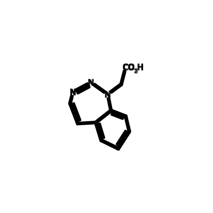 O=C(O)CN1N=NC=Cc2ccccc21